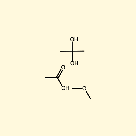 CC(=O)O.CC(C)(O)O.COC